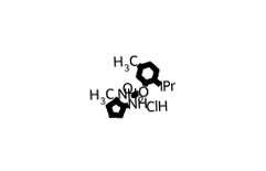 CC1CCC(C(C)C)C(OC(=O)NC2CCCC2(C)N)C1.Cl